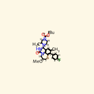 CO[C@H]1CSc2c(-c3ccc(F)cc3)c(C)cc3c2N(C1)C(=O)NC3N1CCN(C(=O)OC(C)(C)C)C[C@@H]1C